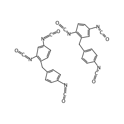 O=C=Nc1ccc(Cc2cc(N=C=O)ccc2N=C=O)cc1.O=C=Nc1ccc(Cc2ccc(N=C=O)cc2N=C=O)cc1